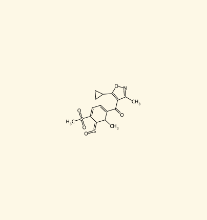 Cc1noc(C2CC2)c1C(=O)C1=CC=C(S(C)(=O)=O)C(=S=O)C1C